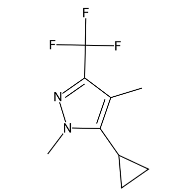 Cc1c(C(F)(F)F)nn(C)c1C1CC1